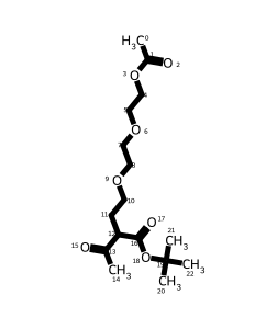 CC(=O)OCCOCCOCCC(C(C)=O)C(=O)OC(C)(C)C